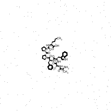 CCCC[C@H](NC(=O)[C@@H]1CCCN1C(=O)[C@H]1CCCN1C(=O)[C@H](Cc1ccccc1)NC(=O)[C@@H](Cc1c[nH]c2ccccc12)NC(=O)[C@H](C)NC(=O)[C@H](C)N)C(=O)O